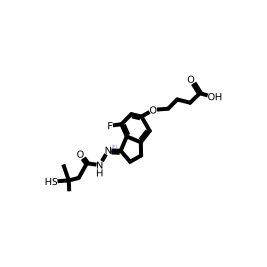 CC(C)(S)CC(=O)N/N=C1\CCc2cc(OCCCC(=O)O)cc(F)c21